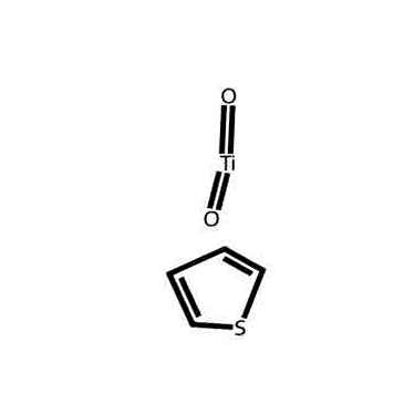 [O]=[Ti]=[O].c1ccsc1